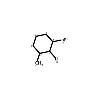 [Li][CH]1C(C)CCCC1CCC